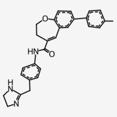 Cc1ccc(-c2ccc3c(c2)C=C(C(=O)Nc2ccc(CC4=NCCN4)cc2)CCO3)cc1